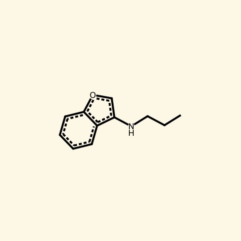 CCCNc1coc2ccccc12